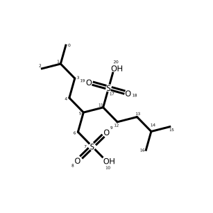 CC(C)CCC(CS(=O)(=O)O)C(CCC(C)C)S(=O)(=O)O